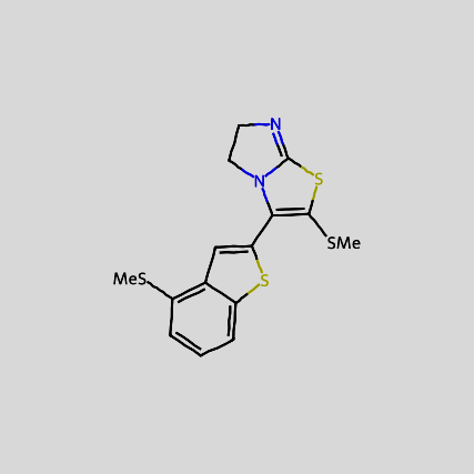 CSC1=C(c2cc3c(SC)cccc3s2)N2CCN=C2S1